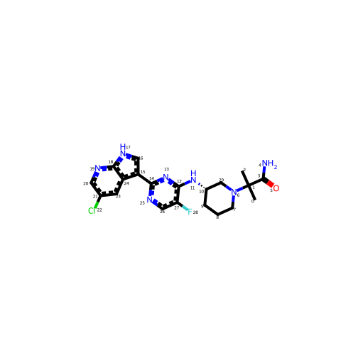 CC(C)(C(N)=O)N1CCC[C@H](Nc2nc(-c3c[nH]c4ncc(Cl)cc34)ncc2F)C1